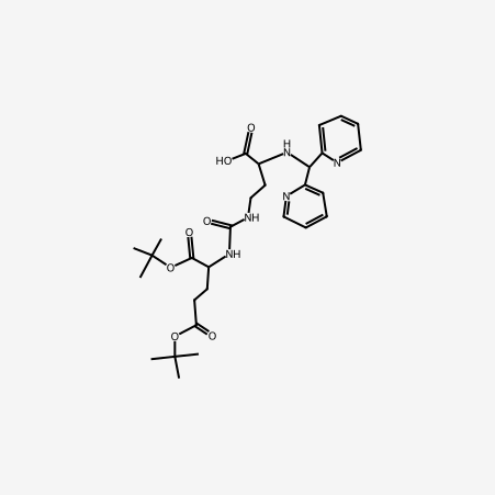 CC(C)(C)OC(=O)CCC(NC(=O)NCCC(NC(c1ccccn1)c1ccccn1)C(=O)O)C(=O)OC(C)(C)C